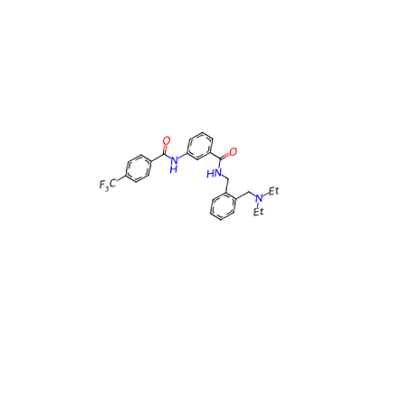 CCN(CC)Cc1ccccc1CNC(=O)c1cccc(NC(=O)c2ccc(C(F)(F)F)cc2)c1